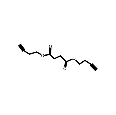 C#CCCOC(=O)CCC(=O)OCCC#C